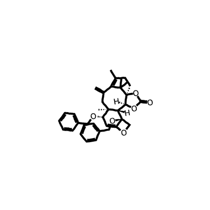 C=C1C[C@]2(C)[C@@H](OCc3ccccc3)C=C3OC[C@@]3(OCc3ccccc3)[C@H]2[C@@H]2OC(=O)O[C@@]23CCC(C)=C1C3(C)C